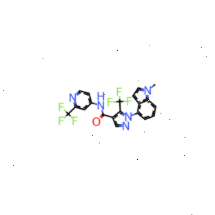 Cn1ccc2c(-n3ncc(C(=O)Nc4ccnc(C(F)(F)F)c4)c3C(F)(F)F)cccc21